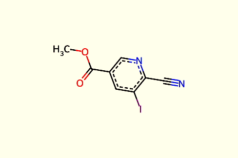 COC(=O)c1cnc(C#N)c(I)c1